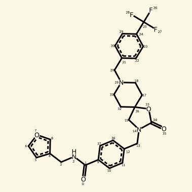 O=C(NCc1ccoc1)c1ccc(CN2CC3(CCN(Cc4ccc(C(F)(F)F)cc4)CC3)OC2=O)cc1